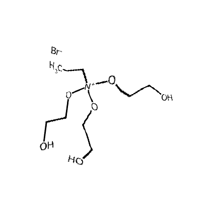 CC[N+](OCCO)(OCCO)OCCO.[Br-]